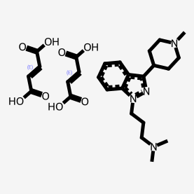 CN(C)CCCn1nc(C2CCN(C)CC2)c2ccccc21.O=C(O)/C=C/C(=O)O.O=C(O)/C=C/C(=O)O